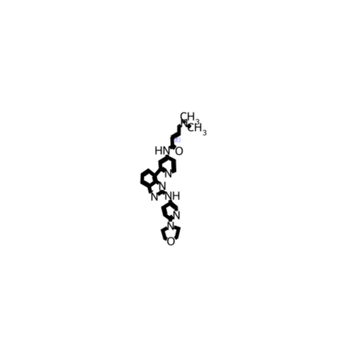 CN(C)C/C=C/C(=O)Nc1ccnc(-c2cccc3cnc(Nc4ccc(N5CCOCC5)nc4)nc23)c1